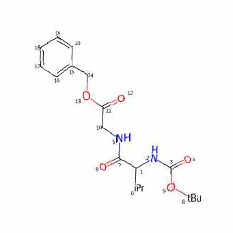 CC(C)C(NC(=O)OC(C)(C)C)C(=O)NCC(=O)OCc1ccccc1